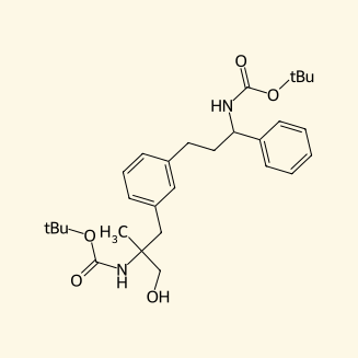 CC(CO)(Cc1cccc(CCC(NC(=O)OC(C)(C)C)c2ccccc2)c1)NC(=O)OC(C)(C)C